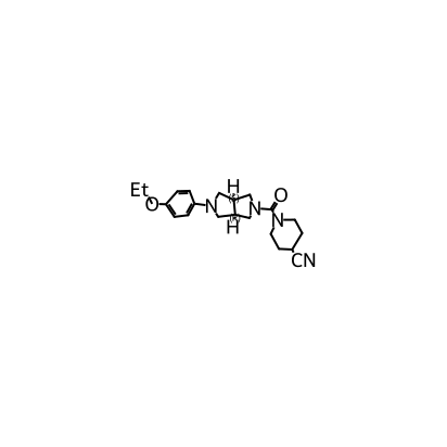 CCOc1ccc(N2C[C@H]3CN(C(=O)N4CCC(C#N)CC4)C[C@H]3C2)cc1